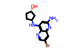 Nc1cc(N[C@H]2CC[C@H](O)C2)c2ncc(Br)cc2n1